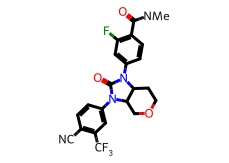 CNC(=O)c1ccc(N2C(=O)N(c3ccc(C#N)c(C(F)(F)F)c3)C3COCCC32)cc1F